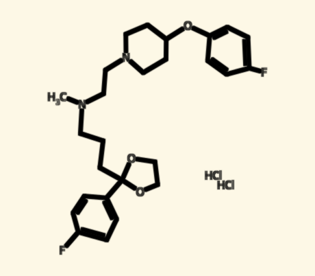 CN(CCCC1(c2ccc(F)cc2)OCCO1)CCN1CCC(Oc2ccc(F)cc2)CC1.Cl.Cl